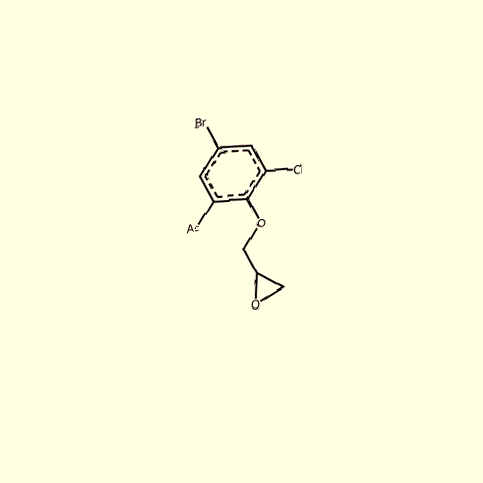 CC(=O)c1cc(Br)cc(Cl)c1OCC1CO1